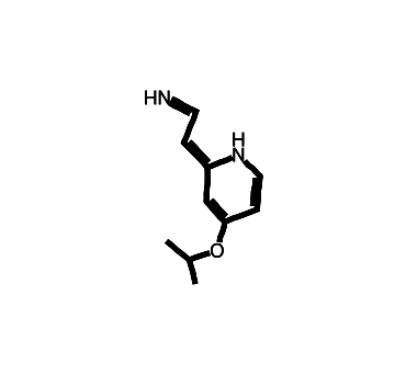 CC(C)OC1=C/C(=C/C=N)NC=C1